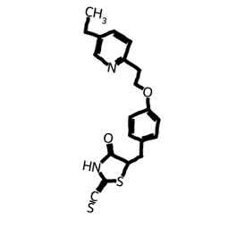 CCc1ccc(CCOc2ccc(CC3SC(=C=S)NC3=O)cc2)nc1